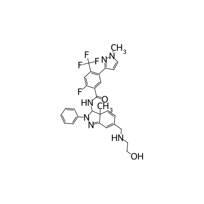 Cn1ccc(-c2cc(C(=O)NC3N(c4ccccc4)N=C4C=C(CNCCO)C=CC43C)c(F)cc2C(F)(F)F)n1